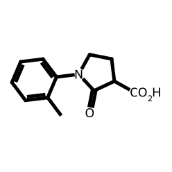 Cc1ccccc1N1CCC(C(=O)O)C1=O